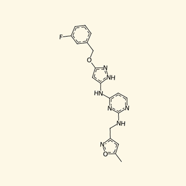 Cc1cc(CNc2nccc(Nc3cc(OCc4cccc(F)c4)n[nH]3)n2)no1